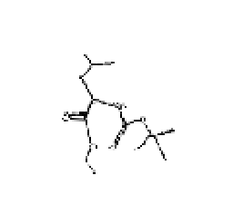 CCOC(=O)C(CC(C)C)NC(=O)OC(C)(C)C